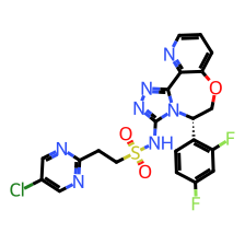 O=S(=O)(CCc1ncc(Cl)cn1)Nc1nnc2n1[C@@H](c1ccc(F)cc1F)COc1cccnc1-2